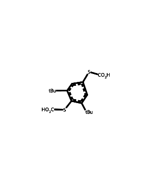 CC(C)(C)c1cc(SC(=O)O)cc(C(C)(C)C)c1SC(=O)O